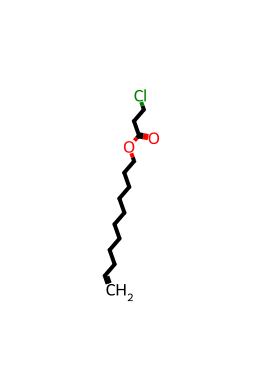 C=CCCCCCCCCCOC(=O)CCCl